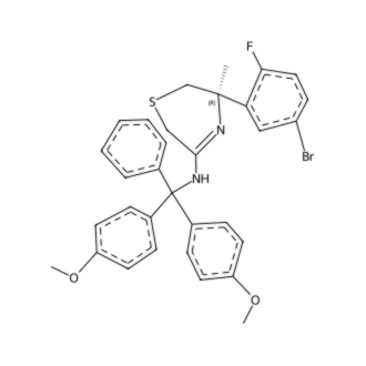 COc1ccc(C(NC2=N[C@](C)(c3cc(Br)ccc3F)CSC2)(c2ccccc2)c2ccc(OC)cc2)cc1